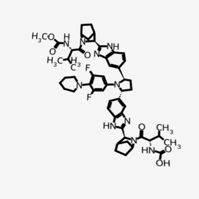 COC(=O)N[C@H](C(=O)N1C2CCC(C2)[C@H]1c1nc2cc([C@H]3CC[C@H](c4ccc5[nH]c([C@@H]6C7CCC(C7)N6C(=O)[C@@H](NC(=O)O)C(C)C)nc5c4)N3c3cc(F)c(N4CCCCC4)c(F)c3)ccc2[nH]1)C(C)C